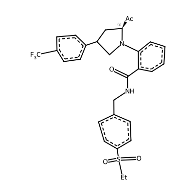 CCS(=O)(=O)c1ccc(CNC(=O)c2ccccc2N2CC(c3ccc(C(F)(F)F)cc3)C[C@H]2C(C)=O)cc1